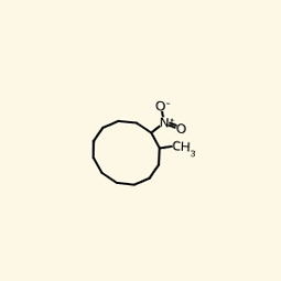 CC1CCCCCCCCCCC1[N+](=O)[O-]